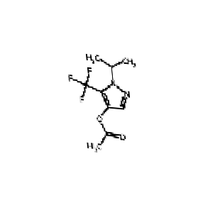 CC(=O)Oc1cnn(C(C)C)c1C(F)(F)F